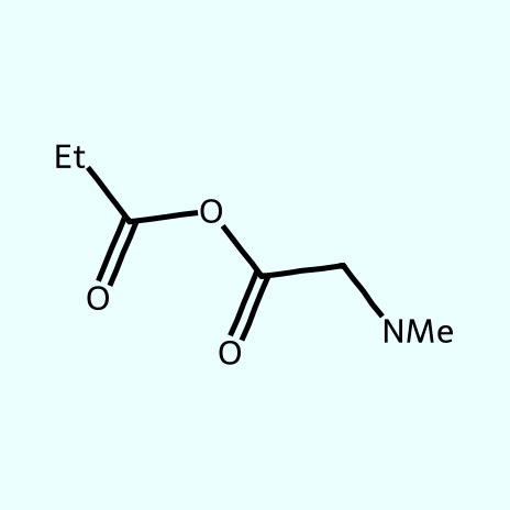 CCC(=O)OC(=O)CNC